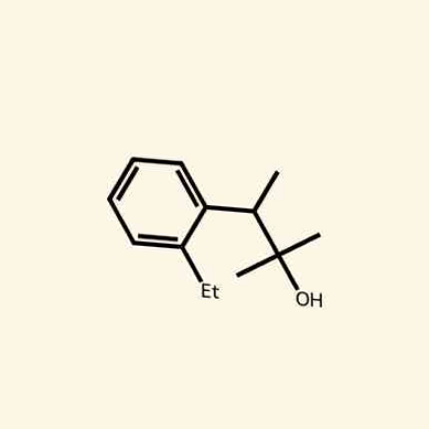 CCc1ccccc1C(C)C(C)(C)O